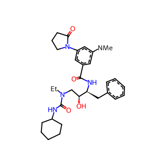 CCN(C[C@H](O)[C@H](Cc1ccccc1)NC(=O)c1cc(NC)cc(N2CCCC2=O)c1)C(=O)NC1CCCCC1